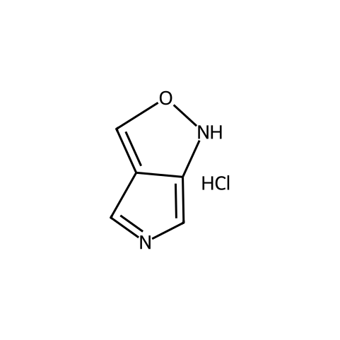 Cl.c1ncc2[nH]occ1-2